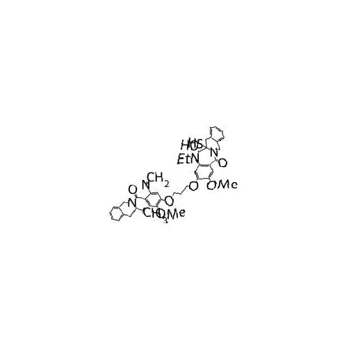 C=Nc1cc(OCCCOc2cc3c(cc2OC)C(=O)N2Cc4ccccc4CC2(S)C(O)N3CC)c(OC)cc1C(=O)N1Cc2ccccc2CC1C